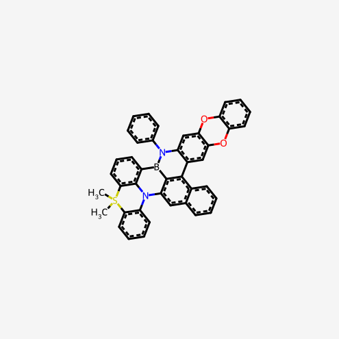 CS1(C)c2ccccc2N2c3cc4ccccc4c4c3B(c3cccc1c32)N(c1ccccc1)c1cc2c(cc1-4)Oc1ccccc1O2